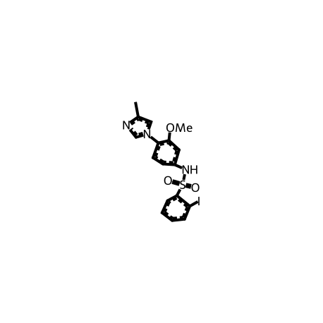 COc1cc(NS(=O)(=O)c2ccccc2I)ccc1-n1cnc(C)c1